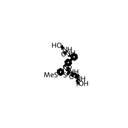 CSc1ccc2c(c1)SC[C@@H](NC(=O)CC(C)(C)NC[C@@H](C)O)C(=O)N2Cc1ccc(-c2ccccc2CNC(=O)NCCO)cc1